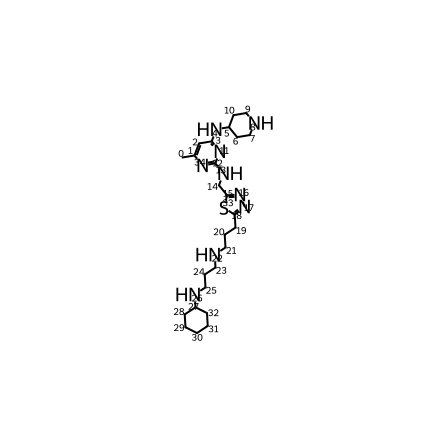 Cc1cc(NC2CCNCC2)nc(NCc2nnc(CCCNCCCNC3CCCCC3)s2)n1